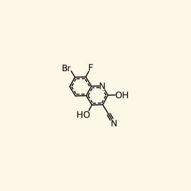 N#Cc1c(O)nc2c(F)c(Br)ccc2c1O